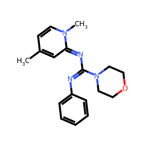 Cc1ccn(C)c(=NC(=Nc2ccccc2)N2CCOCC2)c1